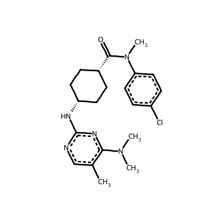 Cc1cnc(N[C@H]2CC[C@@H](C(=O)N(C)c3ccc(Cl)cc3)CC2)nc1N(C)C